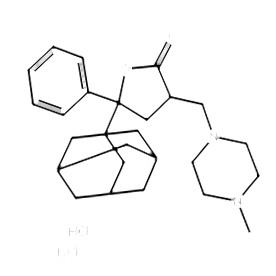 CN1CCN(CC2CC(c3ccccc3)(C34CC5CC(CC(C5)C3)C4)OC2=O)CC1.Cl.Cl